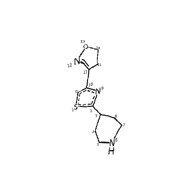 c1sc(C2CCNCC2)nc1C1=NOCC1